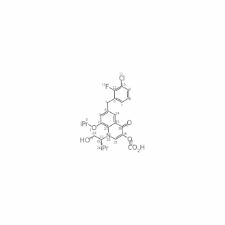 CC(C)Oc1cc(Cc2cccc(Cl)c2F)cc2c(=O)c(OC(=O)O)cn([C@H](CO)C(C)C)c12